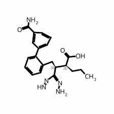 CCC[C@H](C(=O)O)[C@H](Cc1ccccc1-c1cccc(C(N)=O)c1)/C(N=N)=N/N